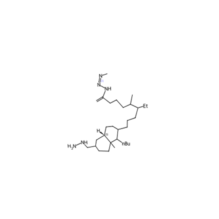 C=C(CCCC(C)C(CC)CCCC1CC[C@H]2CC(CNN)CCC2(C)C1CCCC)N/N=N\C